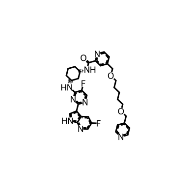 O=C(N[C@H]1CCC[C@@H](Nc2nc(-c3c[nH]c4ncc(F)cc34)ncc2F)C1)c1cc(COCCCCCOCc2ccncc2)ccn1